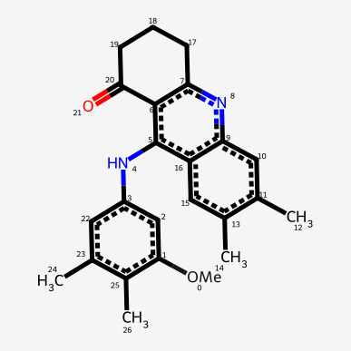 COc1cc(Nc2c3c(nc4cc(C)c(C)cc24)CCCC3=O)cc(C)c1C